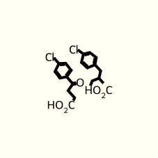 CC(CC(=O)O)Cc1ccc(Cl)cc1.O=C(O)CCC(=O)c1ccc(Cl)cc1